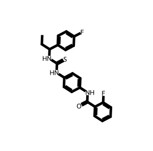 CCC(NC(=S)Nc1ccc(NC(=O)c2ccccc2F)cc1)c1ccc(F)cc1